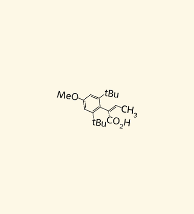 CC=C(C(=O)O)c1c(C(C)(C)C)cc(OC)cc1C(C)(C)C